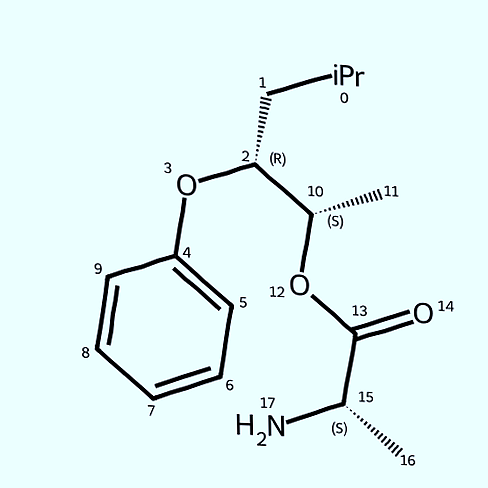 CC(C)C[C@@H](Oc1ccccc1)[C@H](C)OC(=O)[C@H](C)N